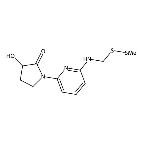 CSSCNc1cccc(N2CCC(O)C2=O)n1